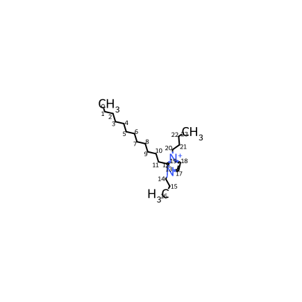 CCCCCCCCCCCCc1n(CCC)cc[n+]1CCCC